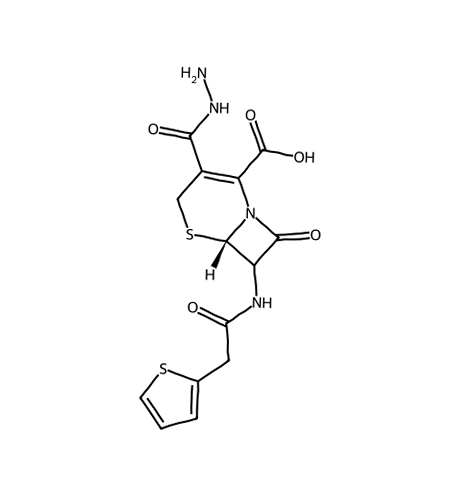 NNC(=O)C1=C(C(=O)O)N2C(=O)C(NC(=O)Cc3cccs3)[C@@H]2SC1